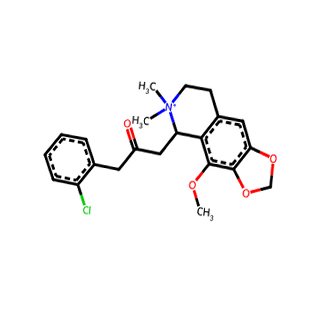 COc1c2c(cc3c1C(CC(=O)Cc1ccccc1Cl)[N+](C)(C)CC3)OCO2